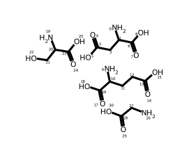 NC(CC(=O)O)C(=O)O.NC(CCC(=O)O)C(=O)O.NC(CO)C(=O)O.NCC(=O)O